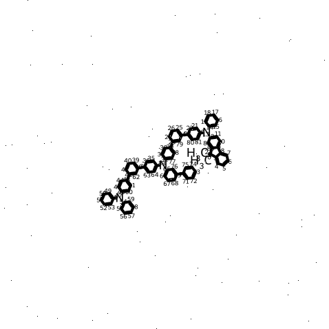 CC1(C)c2ccccc2-c2ccc(N(c3ccccc3)c3ccc(-c4cccc(-c5ccc(N(c6ccc(-c7cccc(-c8ccc(N(c9ccccc9)c9ccccc9)cc8)c7)cc6)c6cccc(-c7ccccc7)c6)cc5)c4)cc3)cc21